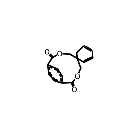 O=C1OCC2(C=CC=CC2)COC(=O)c2ccc1cc2